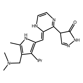 Cc1[nH]c(C=C2NC=CN=C2C2C=NNC2=O)c(C(C)C)c1CN(C)C